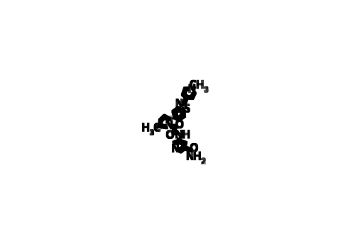 C[C@H]1CC[C@H](c2ccc3sc(C4CCN(C)CC4)nc3c2)N(C(=O)C(=O)Nc2cncc(C(N)=O)c2)C1